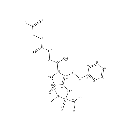 CC(=O)CCC(=O)OCC(O)C1OC(=O)C(OP(=O)(N(C)C)N(C)C)=C1OCc1ccccc1